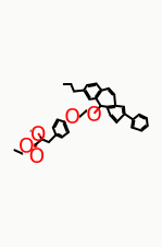 CCCc1ccc2c(c1)C(OCCOc1ccc(CC(OC)C(=O)OCC)cc1)c1ccc(-c3ccccc3)cc1C=C2